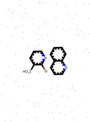 O=S(=O)(O)c1cccnc1Br.c1ccc2ncccc2c1